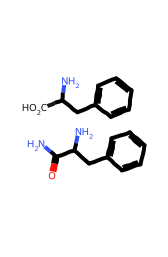 NC(=O)C(N)Cc1ccccc1.NC(Cc1ccccc1)C(=O)O